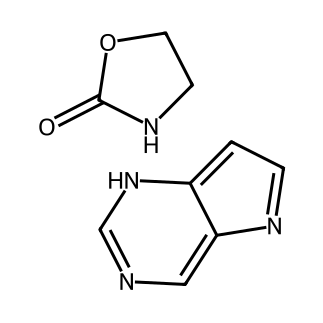 O=C1NCCO1.c1cc2[nH]cncc-2n1